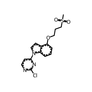 CS(=O)(=O)CCCOc1cccc2c1ccn2-c1ccnc(Cl)n1